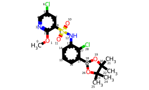 COc1ncc(Cl)cc1S(=O)(=O)Nc1cccc(B2OC(C)(C)C(C)(C)O2)c1Cl